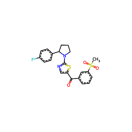 CS(=O)(=O)c1cccc(C(=O)c2cnc(N3CCCC3c3ccc(F)cc3)s2)c1